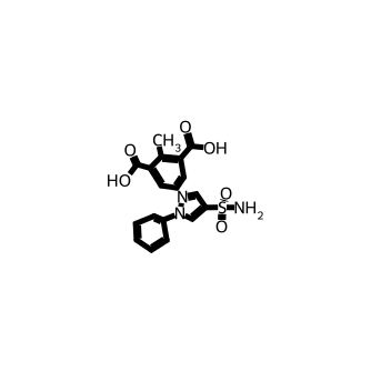 Cc1c(C(=O)O)cccc1C(=O)O.NS(=O)(=O)c1cnn(-c2ccccc2)c1